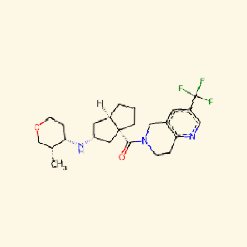 C[C@@H]1COCC[C@@H]1N[C@@H]1C[C@H]2CCC[C@@]2(C(=O)N2CCc3ncc(C(F)(F)F)cc3C2)C1